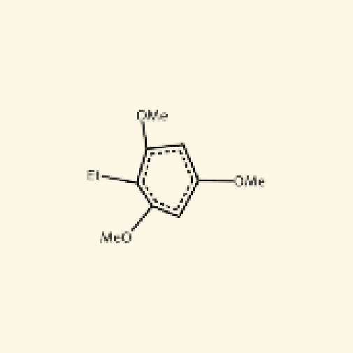 CCc1c(OC)cc(OC)cc1OC